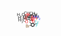 CC(C)(C)OC(=O)[C@@](C(=O)ON)(C(=O)C(C)(C)C)C(C(=O)C(C)(C)C)[C@H](Cc1cc(C(F)(F)F)ccc1Br)C(=O)O